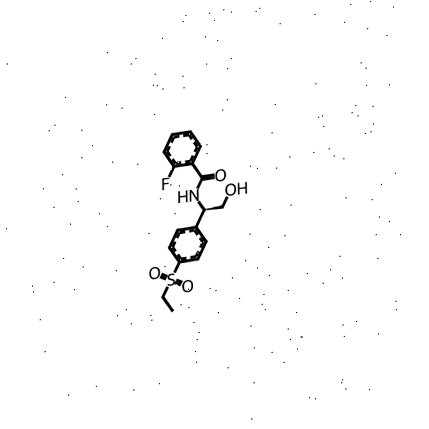 CCS(=O)(=O)c1ccc([C@H](CO)NC(=O)c2ccccc2F)cc1